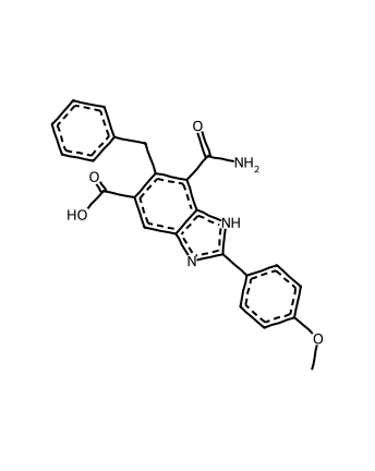 COc1ccc(-c2nc3cc(C(=O)O)c(Cc4ccccc4)c(C(N)=O)c3[nH]2)cc1